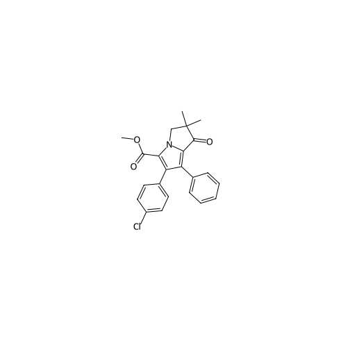 COC(=O)c1c(-c2ccc(Cl)cc2)c(-c2ccccc2)c2n1CC(C)(C)C2=O